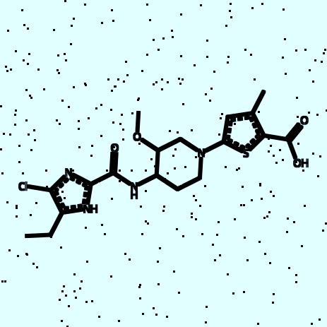 CCc1[nH]c(C(=O)NC2CCN(c3cc(C)c(C(=O)O)s3)CC2OC)nc1Cl